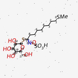 CSCCCCCCCCC(=NOS(=O)(=O)O)S[C@@H]1O[C@H](CO)[C@@H](O)[C@H](O)[C@H]1O